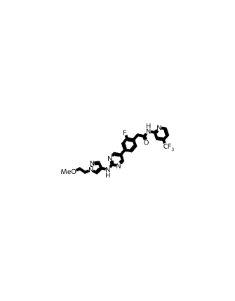 COCCn1cc(Nc2ncc(-c3ccc(CC(=O)Nc4cc(C(F)(F)F)ccn4)c(F)c3)cn2)cn1